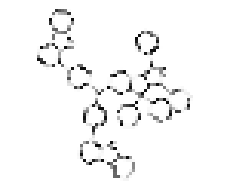 c1ccc(-c2oc(-c3ccccc3)c3c2-c2ccc(N(c4ccc(-c5cccc6c5oc5ccccc56)cc4)c4ccc(-c5cccc6c5oc5ccccc56)cc4)cc2C3(c2ccccc2)c2ccccc2)cc1